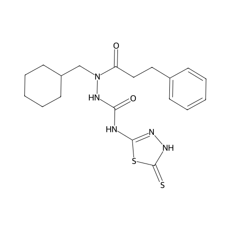 O=C(Nc1n[nH]c(=S)s1)NN(CC1CCCCC1)C(=O)CCc1ccccc1